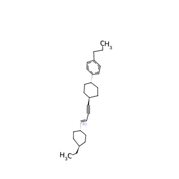 CCCc1ccc([C@H]2CC[C@H](C#C/C=C/[C@H]3CC[C@H](CC)CC3)CC2)cc1